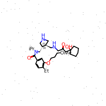 CCc1ccc(C(=O)N(C[C@@H]2CNC[C@H]2CNCC(=O)CC2(O)CCCCC2)C(C)C)cc1OCCCOC